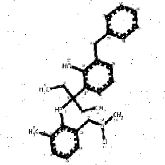 CCC(CC)(Pc1c(C)cccc1CN(C)Cl)c1cccc(Cc2ccccc2)c1O